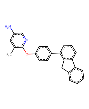 Nc1cnc(Oc2ccc(-c3cccc4c3Cc3ccccc3-4)cc2)c(C(F)(F)F)c1